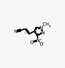 Cn1cc(/C=C/C#N)c([N+](=O)[O-])n1